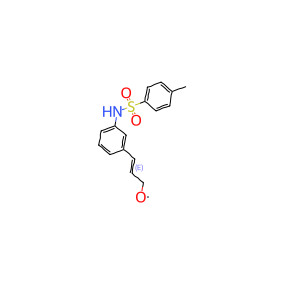 Cc1ccc(S(=O)(=O)Nc2cccc(/C=C/C[O])c2)cc1